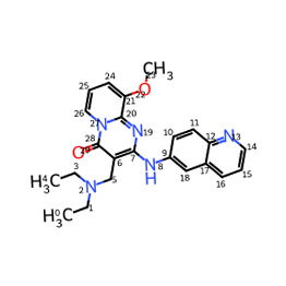 CCN(CC)Cc1c(Nc2ccc3ncccc3c2)nc2c(OC)cccn2c1=O